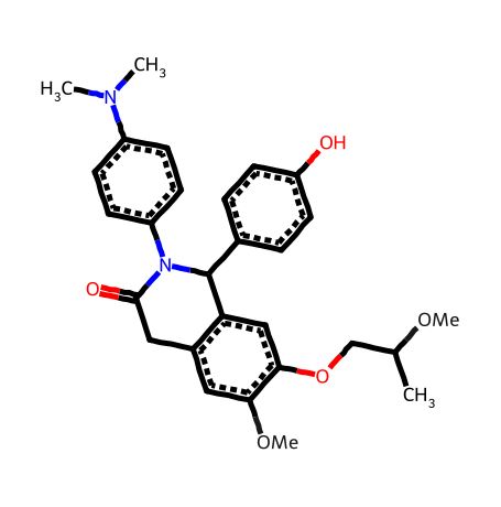 COc1cc2c(cc1OCC(C)OC)C(c1ccc(O)cc1)N(c1ccc(N(C)C)cc1)C(=O)C2